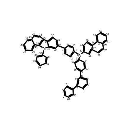 c1ccc(-c2cccc(-c3ccc(N(c4ccc(-c5ccc6c7ccc8ccccc8c7n(-c7ccccc7)c6c5)cc4)c4ccc5c(ccc6ccccc65)c4)cc3)c2)cc1